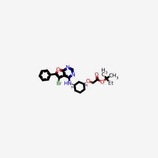 CCC(C)(C)OC(=O)CO[C@@H]1CCC[C@H](Nc2ncnc3oc(-c4ccccc4)c(Br)c23)C1